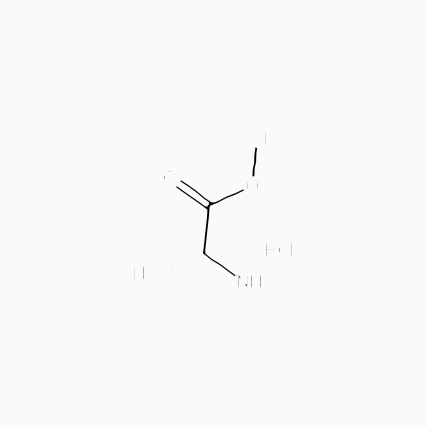 COC(=O)[C@@H](C)N.Cl